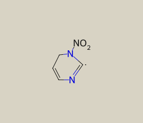 O=[N+]([O-])N1[C]=NC=CC1